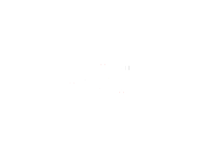 CS([O])(=O)=O.C[O]